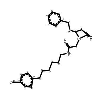 O=C(CN1C(=O)CC1SCc1ccccc1)NCCCCCCc1ccc(Cl)cc1